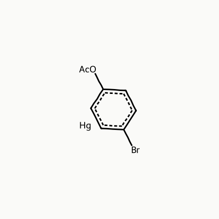 CC(=O)Oc1ccc(Br)cc1.[Hg]